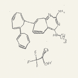 CNc1nc(N)nc2cc(-c3ccccc3-c3ccccc3)ccc12.O=C(O)C(F)(F)F